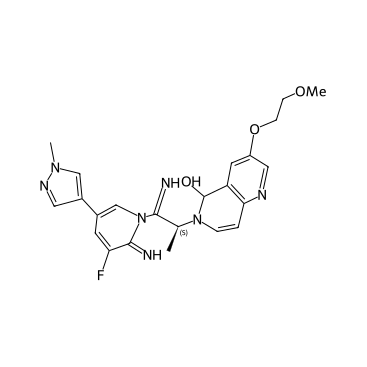 COCCOc1cnc2c(c1)C(O)N([C@@H](C)C(=N)n1cc(-c3cnn(C)c3)cc(F)c1=N)C=C2